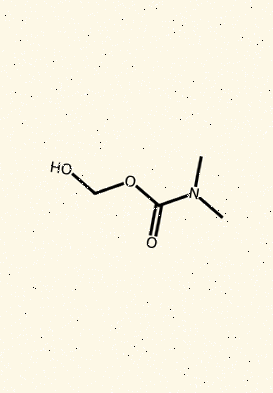 CN(C)C(=O)OCO